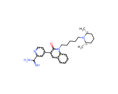 C[C@@H]1CCC[C@H](C)N1CCCCCn1c(=O)c(-c2ccnc(C(=N)N)c2)cc2ccccc21